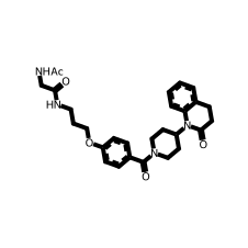 CC(=O)NCC(=O)NCCCOc1ccc(C(=O)N2CCC(N3C(=O)CCc4ccccc43)CC2)cc1